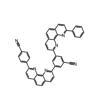 N#Cc1ccc(-c2ccc3ccc4ccc(-c5cc(C#N)cc(-c6ccc7ccc8ccc(-c9ccccc9)nc8c7n6)c5)nc4c3n2)cc1